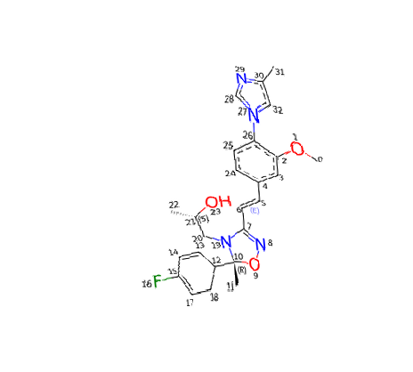 COc1cc(/C=C/C2=NO[C@](C)(C3C=CC(F)=CC3)N2C[C@H](C)O)ccc1-n1cnc(C)c1